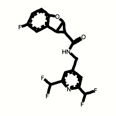 O=C(NCc1cc(C(F)F)nc(C(F)F)c1)C1C2Oc3ccc(F)cc3C21